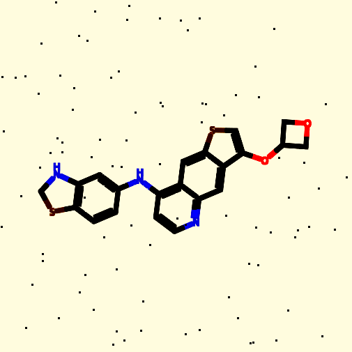 c1cc(Nc2ccc3c(c2)NCS3)c2cc3scc(OC4COC4)c3cc2n1